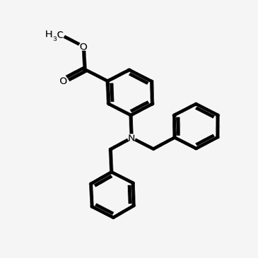 COC(=O)c1cccc(N(Cc2ccccc2)Cc2ccccc2)c1